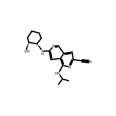 CC(C)Nc1nc(C#N)cc2cnc(N[C@@H]3CCCC[C@@H]3O)cc12